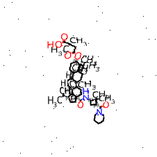 C=C(C)[C@@H]1CC[C@]2(C(=O)N[C@H]3C[C@@H](C(=O)N4CCCCC4)C3(C)C)CC[C@]3(C)[C@H](CC[C@@H]4[C@@]5(C)CC[C@H](OC(=O)CC(C)(C)C(=O)O)C(C)(C)[C@@H]5CC[C@]43C)[C@@H]12